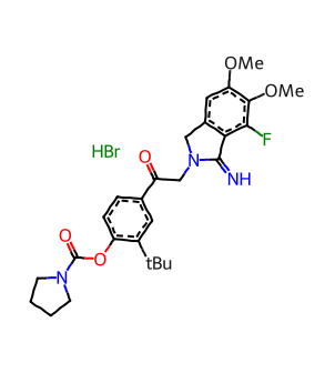 Br.COc1cc2c(c(F)c1OC)C(=N)N(CC(=O)c1ccc(OC(=O)N3CCCC3)c(C(C)(C)C)c1)C2